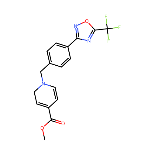 COC(=O)C1=CCN(Cc2ccc(-c3noc(C(F)(F)F)n3)cc2)C=C1